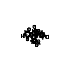 O=C1CC2(S(=O)(=O)c3ccc(Cl)cc3)C(=O)C(Cc3ccc4c(c3)OCO4)CN12.O=C1CCNC(=O)CC1